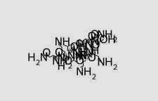 CC(C)C[C@H](NC(=O)[C@H](CC(C)C)NC(=O)[C@H](CCCCN)NC(=O)[C@@H](N)CCC(N)=O)C(=O)N[C@@H](CCCCN)C(=O)N[C@@H](CCCCN)C(=O)N[C@@H](Cc1ccccc1)C(=O)N[C@@H](CO)C(N)=O